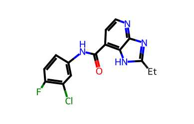 CCc1nc2nccc(C(=O)Nc3ccc(F)c(Cl)c3)c2[nH]1